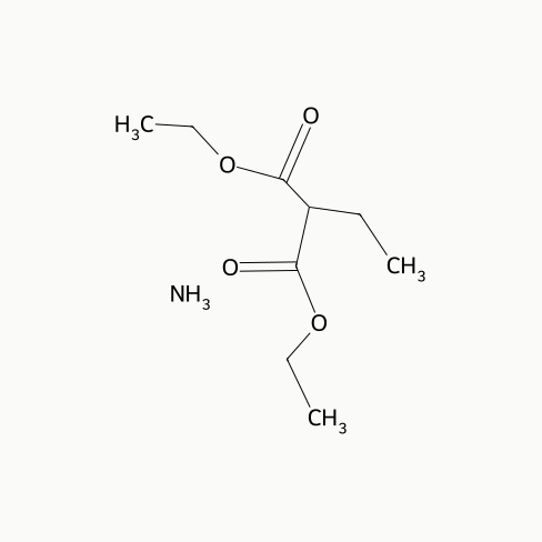 CCOC(=O)C(CC)C(=O)OCC.N